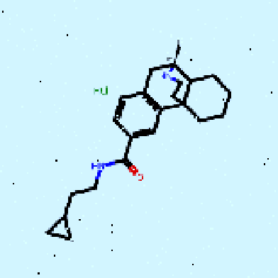 Cl.O=C(NCCC1CC1)c1ccc2c(c1)C13CCCCC1[C@@H](C2)NCC3